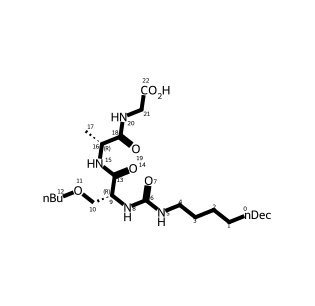 CCCCCCCCCCCCCCNC(=O)N[C@H](COCCCC)C(=O)N[C@H](C)C(=O)NCC(=O)O